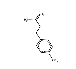 C=C(N)CCc1ccc(C)cc1